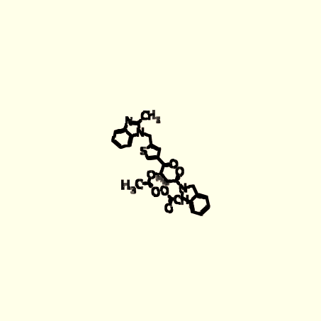 CC(=O)O[C@@H](C(=O)c1csc(Cn2c(C)nc3ccccc32)c1)[C@@H](OC(C)=O)C(=O)N1Cc2ccccc2C1